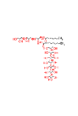 CCCCCCCC(=O)O.CCCCCCCCCC(=O)O.OCC(O)CO.OCC(O)CO.OCC(O)CO.OCC(O)CO.OCC(O)CO.OCC(O)CO.OCC(O)CO.OCC(O)CO.OCC(O)CO.OCC(O)CO